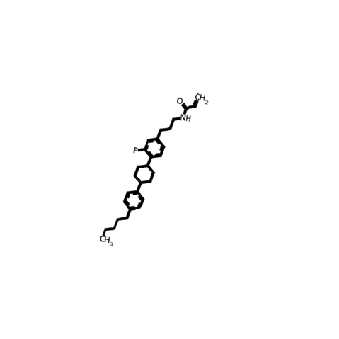 C=CC(=O)NCCCc1ccc(C2CCC(c3ccc(CCCCC)cc3)CC2)c(F)c1